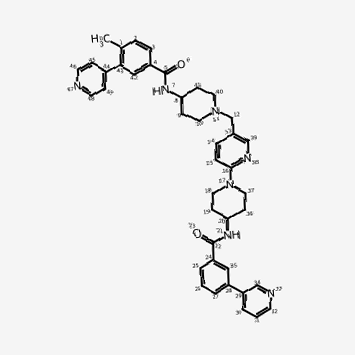 Cc1ccc(C(=O)NC2CCN(Cc3ccc(N4CCC(NC(=O)c5cccc(-c6cccnc6)c5)CC4)nc3)CC2)cc1-c1ccncc1